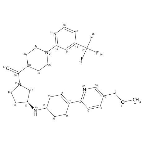 COCc1ccc(C2=CCC(N[C@H]3CCN(C(=O)C4CCN(c5cc(C(F)(F)F)ccn5)CC4)C3)CC2)nc1